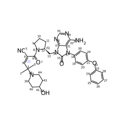 CC(C)(/C=C(/C#N)C(=O)N1CCC[C@H]1Cn1c(=O)n(-c2ccc(Oc3ccccc3)cc2)c2c(N)ncnc21)N1CCC(O)CC1